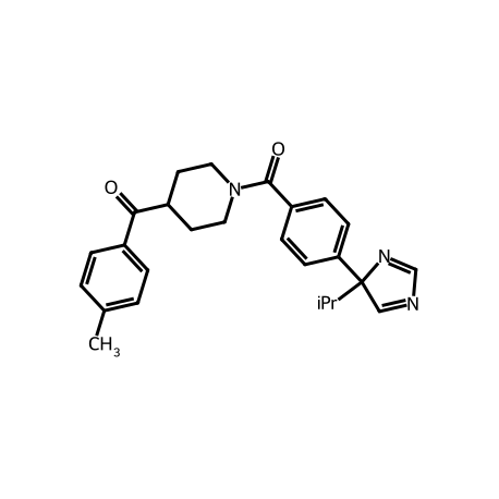 Cc1ccc(C(=O)C2CCN(C(=O)c3ccc(C4(C(C)C)C=NC=N4)cc3)CC2)cc1